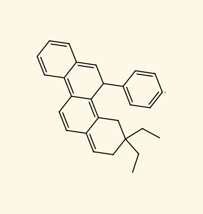 CCC1(CC)CC=c2ccc3c(c2C1)C(c1cc[c]cc1)C=c1ccccc1=3